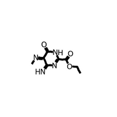 CCOC(=O)C1=NC(=N)/C(=N\C)C(=O)N1